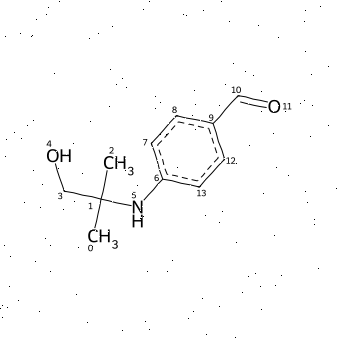 CC(C)(CO)Nc1ccc(C=O)cc1